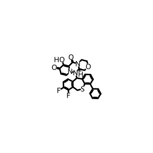 O=C1c2c(O)c(=O)ccn2N(C2c3ccc(F)c(F)c3CSc3c(-c4ccccc4)cccc32)[C@H]2COCCN12